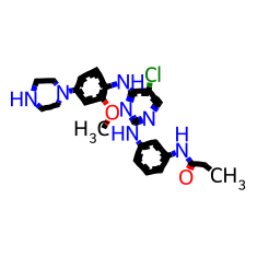 CCC(=O)Nc1cccc(Nc2ncc(Cl)c(Nc3ccc(N4CCNCC4)cc3OC)n2)c1